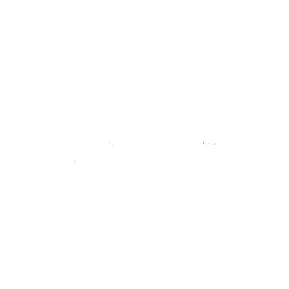 COC(=O)c1ccc2cc(C(C)=O)[nH]c2c1